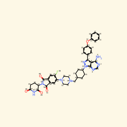 Nc1ncnc2c1c(-c1ccc(Oc3ccccc3)cc1)nn2C1CCC(CN2CCN(c3cc4c(cc3F)C(=O)N(C3CCC(=O)NC3=O)C4=O)CC2)CC1